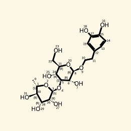 C[C@@H]1O[C@@H](O[C@@H]2[C@@H](O)[C@H](OCCc3ccc(O)c(O)c3)O[C@H](CO)[C@H]2O)[C@H](O)[C@H](O)[C@H]1O